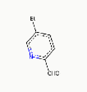 CCc1ccc([C]=O)nc1